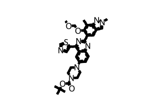 COCOc1c(-c2nc(-c3cncs3)c3cc(N4CCN(C(=O)OC(C)(C)C)CC4)ccc3n2)cc2cn(C)nc2c1C